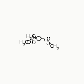 CCOC(=O)C=Cc1ccc(N(C)C(=O)COC)cc1